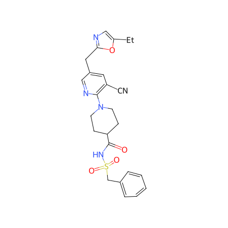 CCc1cnc(Cc2cnc(N3CCC(C(=O)NS(=O)(=O)Cc4ccccc4)CC3)c(C#N)c2)o1